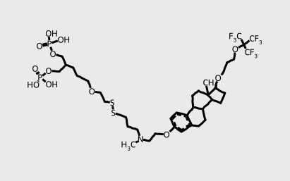 CN(CCCSSCCOCCCC(COP(=O)(O)O)COP(=O)(O)O)CCOc1ccc2c(c1)CCC1C2CCC2(C)C(OCCCOC(C(F)(F)F)(C(F)(F)F)C(F)(F)F)CCC12